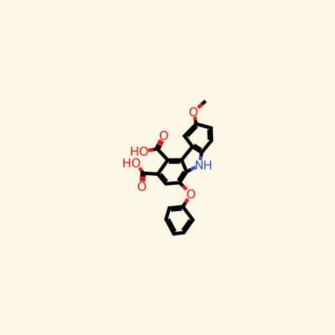 COc1ccc2[nH]c3c(Oc4ccccc4)cc(C(=O)O)c(C(=O)O)c3c2c1